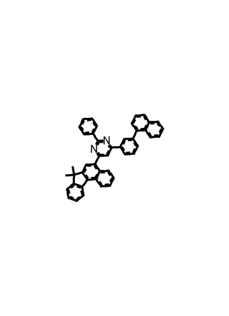 CC1(C)c2ccccc2-c2c1cc(-c1cc(-c3cccc(-c4cccc5ccccc45)c3)nc(-c3ccccc3)n1)c1ccccc21